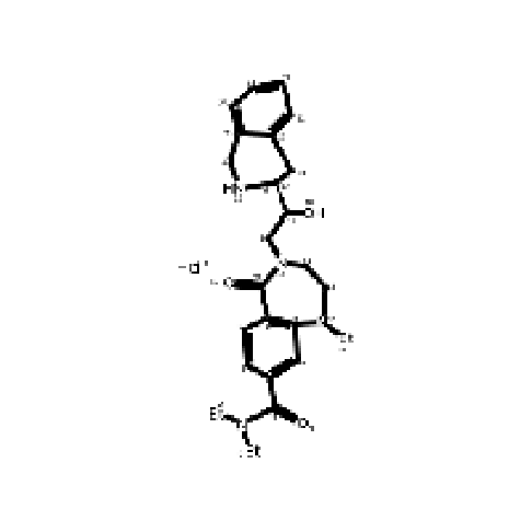 CCN(CC)C(=O)c1ccc2c(c1)N(CC)CCN(CC(O)[C@@H]1Cc3ccccc3CN1)C2=O.Cl